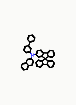 c1ccc(-c2cccc(N(c3ccc4c(c3)C3(c5ccccc5-c5ccccc53)c3ccccc3-4)c3ccc4ccccc4c3)c2)cc1